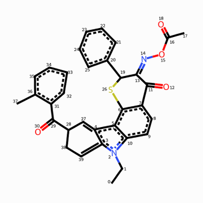 CCn1c2c(c3c4c(ccc31)C(=O)/C(=N\OC(C)=O)C(c1ccccc1)S4)=CC(C(=O)c1ccccc1C)CC=2